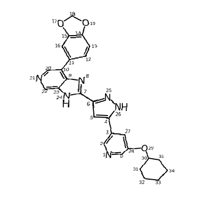 c1ncc(-c2cc(-c3nc4c(-c5ccc6c(c5)OCO6)cncc4[nH]3)n[nH]2)cc1OC1CCCCC1